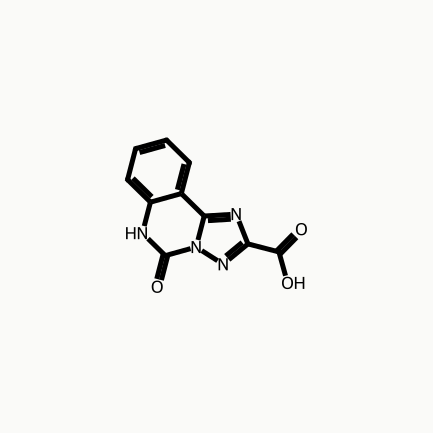 O=C(O)c1nc2c3ccccc3[nH]c(=O)n2n1